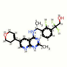 Cc1nc(N[C@H](C)c2cccc(C(F)(F)CO)c2F)c2cc(C3=CCOCC3)cnc2n1